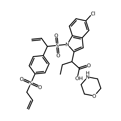 C1COCCN1.C=CCS(=O)(=O)c1ccc(C(C=C)S(=O)(=O)n2c(C(CC)C(=O)O)cc3cc(Cl)ccc32)cc1